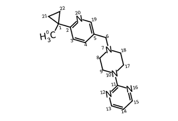 CC1(c2ccc(CN3CCN(c4ncccn4)CC3)cn2)CC1